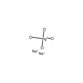 [Cl][Hg-2]([Cl])([Cl])[Cl].[Na+].[Na+]